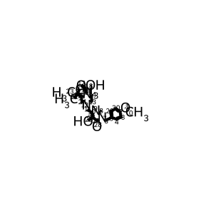 COc1ccc(Cn2cnc(CN3CCN(C(=O)O)C(C(C)(C)C)C3)c(O)c2=O)cc1